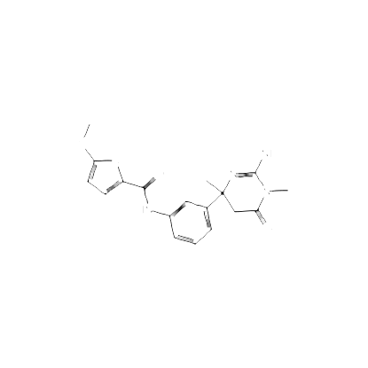 CSc1ccc(C(=O)Nc2cccc(C3(C)CC(=O)N(C)C(N)=N3)c2)s1